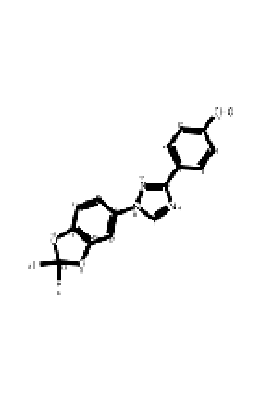 O=Cc1ccc(-c2ncn(-c3ccc4c(c3)OC(F)(F)O4)n2)cc1